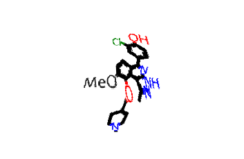 COc1ccc2c(-c3ccc(O)c(Cl)c3)nc3[nH]nc(C)c3c2c1OCC1CCN(C)CC1